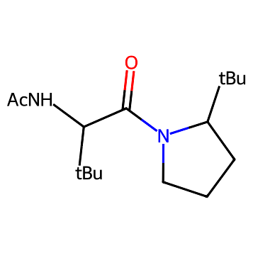 CC(=O)NC(C(=O)N1CCCC1C(C)(C)C)C(C)(C)C